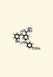 COc1ccc(Nc2ncc(C(=O)NC(C)C)c(Nc3cccc(N)n3)n2)cc1